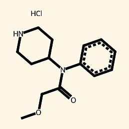 COCC(=O)N(c1ccccc1)C1CCNCC1.Cl